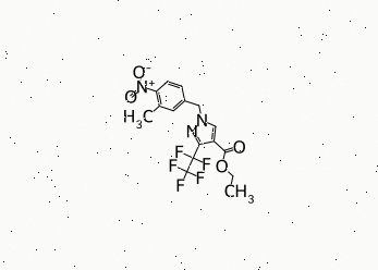 CCOC(=O)c1cn(Cc2ccc([N+](=O)[O-])c(C)c2)nc1C(F)(F)C(F)(F)F